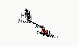 CCOc1cc(C(C)(C)C)ccc1C1=N[C@@](C)(c2ccc(Cl)cc2)[C@@](C)(c2ccc(Cl)cc2)N1C(=O)N1CCN(CCC(=O)NCCCCCCCCCCCOc2cc3nc(C)nc(N[C@H](C)c4cccc(Br)c4)c3cc2OC)CC1